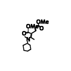 COC(=O)C=CC(C(=O)OC)=C(C)N(C)C1CCCCC1